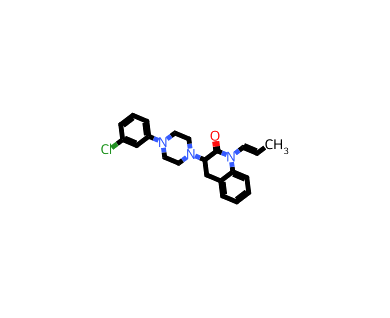 CC=CN1C(=O)C(N2CCN(c3cccc(Cl)c3)CC2)Cc2ccccc21